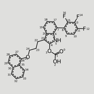 O=C(O)Oc1[nH]c2c(-c3ccc(F)c(F)c3F)cccc2c1CCCOc1cccc2ccccc12